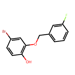 Oc1ccc(Br)cc1OCc1cccc(F)c1